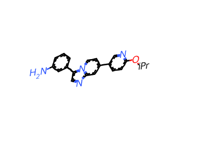 CC(C)Oc1ccc(-c2ccn3c(-c4cccc(N)c4)cnc3c2)cn1